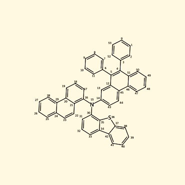 c1ccc(-c2c(-c3ccccc3)c3cc(N(c4cccc5c4ccc4ccccc45)c4cccc5c4sc4ccccc45)ccc3c3ccccc23)cc1